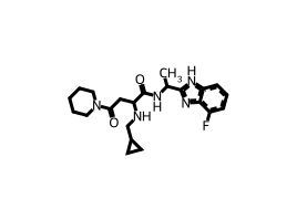 CC(NC(=O)C(CC(=O)N1CCCCC1)NCC1CC1)c1nc2c(F)cccc2[nH]1